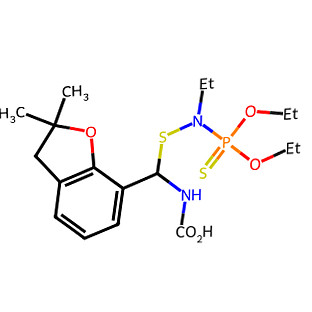 CCOP(=S)(OCC)N(CC)SC(NC(=O)O)c1cccc2c1OC(C)(C)C2